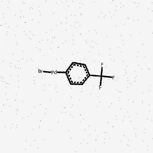 FC(F)(F)c1cc[c]([Pd][Br])cc1